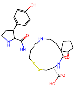 O=C(N[C@@H]1CNCCC2(CCCC2=O)C(=O)N[C@H](C(=O)O)CSSC1)C1NCC[C@H]1c1ccc(O)cc1